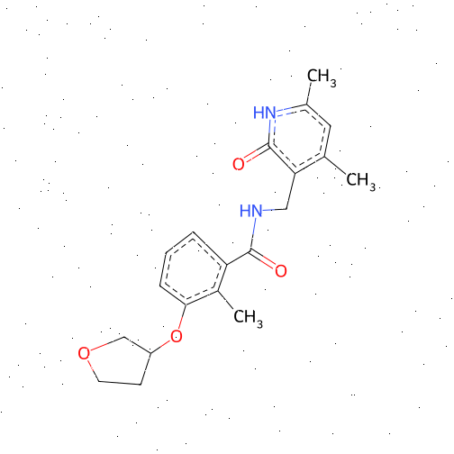 Cc1cc(C)c(CNC(=O)c2cccc(OC3CCOC3)c2C)c(=O)[nH]1